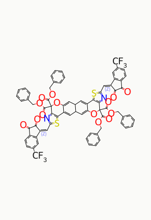 O=C1C(=O)c2ccc(C(F)(F)F)cc2/C1=C/c1nc2c(s1)C1=CC3C=C4OC(C(=O)OCc5ccccc5)(C(=O)OCc5ccccc5)c5nc(/C=C6\C(=O)C(=O)c7ccc(C(F)(F)F)cc76)sc5C4=CC3C=C1OC2(C(=O)OCc1ccccc1)C(=O)OCc1ccccc1